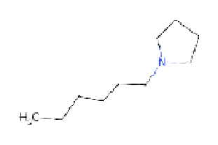 [CH2]CCCCCN1CCCC1